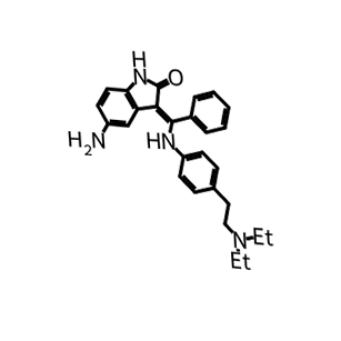 CCN(CC)CCc1ccc(NC(=C2C(=O)Nc3ccc(N)cc32)c2ccccc2)cc1